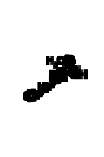 Cc1cccc(-c2n[nH]cc2-c2ccc3ncc(CNCCCN4CCOCC4)cc3n2)n1